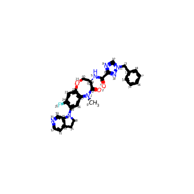 CN1C(=O)[C@@H](NC(=O)c2ncn(Cc3ccccc3)n2)COc2cc(F)c(N3CCc4ccncc43)cc21